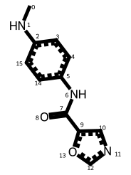 CNc1ccc(NC(=O)c2cnco2)cc1